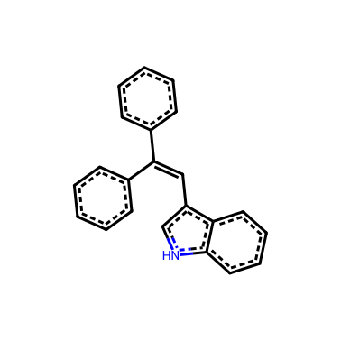 C(=C(c1ccccc1)c1ccccc1)c1c[nH]c2ccccc12